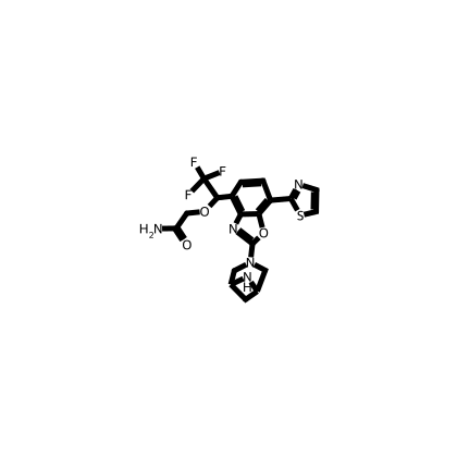 NC(=O)COC(c1ccc(-c2nccs2)c2oc(N3CC4CC(C3)N4)nc12)C(F)(F)F